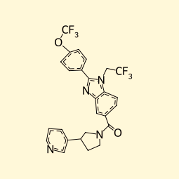 O=C(c1ccc2c(c1)nc(-c1ccc(OC(F)(F)F)cc1)n2CC(F)(F)F)N1CCC(c2cccnc2)C1